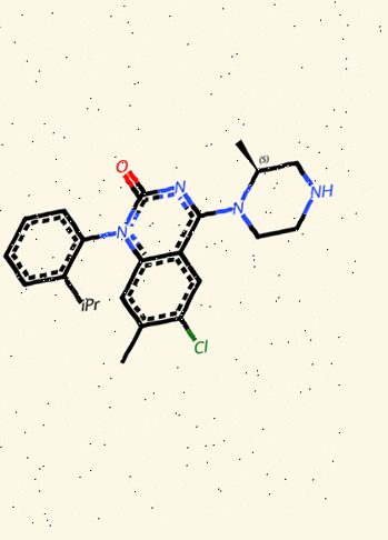 Cc1cc2c(cc1Cl)c(N1CCNC[C@@H]1C)nc(=O)n2-c1ccccc1C(C)C